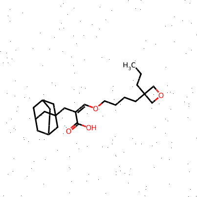 CCCC1(CCCCOC=C(CC23CC4CC(CC(C4)C2)C3)C(=O)O)COC1